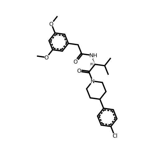 COc1cc(CC(=O)N[C@@H](C(=O)N2CCC(c3ccc(Cl)cc3)CC2)C(C)C)cc(OC)c1